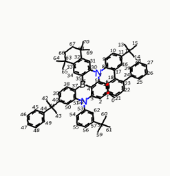 Cc1cc2c3c(c1)N(c1ccc(C(C)(C)C)cc1-c1ccccc1-c1ccccc1)c1cc4c(cc1B3c1ccc(C(C)(C)c3ccccc3)cc1N2c1cccc(C(C)(C)C)c1)C(C)(C)CCC4(C)C